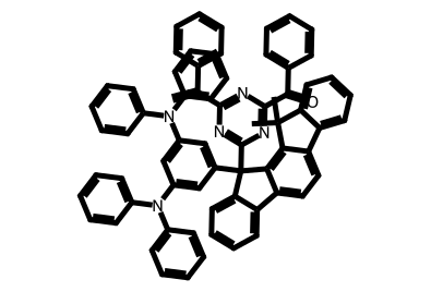 C=C(c1ccccc1)c1nc(C(=O)c2ccccc2)nc(C2(c3cc(N(c4ccccc4)c4ccccc4)cc(N(c4ccccc4)c4ccccc4)c3)c3ccccc3-c3ccc4c(c32)C(C)(C)c2ccccc2-4)n1